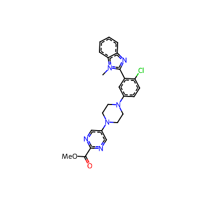 COC(=O)c1ncc(N2CCN(c3ccc(Cl)c(-c4nc5ccccc5n4C)c3)CC2)cn1